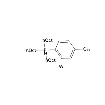 CCCCCCCC[PH](CCCCCCCC)(CCCCCCCC)c1ccc(O)cc1.[W]